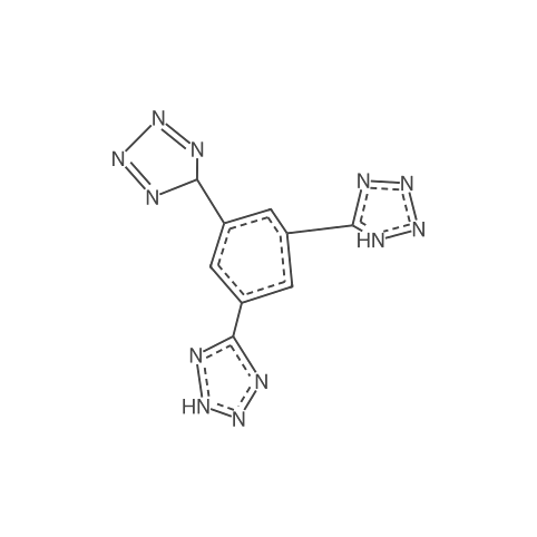 c1c(-c2nn[nH]n2)cc(C2N=NN=N2)cc1-c1nnn[nH]1